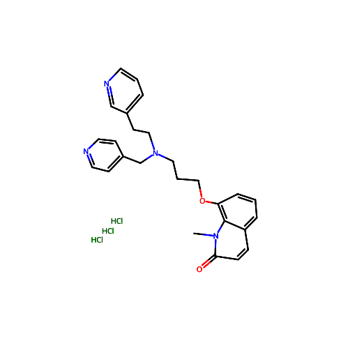 Cl.Cl.Cl.Cn1c(=O)ccc2cccc(OCCCN(CCc3cccnc3)Cc3ccncc3)c21